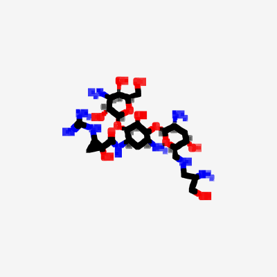 N=C(N)NC1CC1(O)C(=O)N[C@@H]1C[C@H](N)C(O[C@H]2O[C@H](CNCC(N)CO)[C@@H](O)C[C@H]2N)[C@H](O)[C@H]1O[C@H]1O[C@H](CO)[C@@H](O)[C@H](N)[C@H]1O